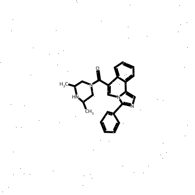 CC1CN(C(=O)c2cn3c(-c4ccccc4)ncc3c3ccccc23)CC(C)N1